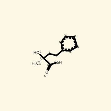 C[C@](O)(CCc1ccccc1)C(=O)S